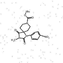 CN1C(=O)N(c2ccc([N+](=O)[O-])cc2)C2(CCN(C(=O)OC(C)(C)C)CC2)C1=O